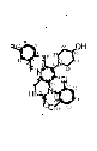 O=C1NCc2nc(Sc3ccc(F)cc3F)c(N3CCC(O)CC3)cc2N1c1c(Cl)cccc1Cl